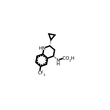 O=C(O)N[C@H]1C[C@@H](C2CC2)Nc2ccc(C(F)(F)F)cc21